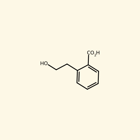 O=C(O)c1ccccc1CCO